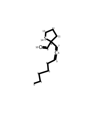 CCCCCC=C=CC1(C=O)CCCS1